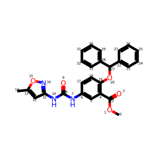 COC(=O)c1cc(NC(=O)Nc2cc(C)on2)ccc1OC(c1ccccc1)c1ccccc1